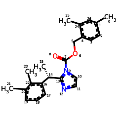 Cc1ccc(COC(=O)n2ccnc2[C@@H](C)c2cccc(C)c2C)c(C)c1